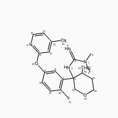 CN(C)C(=N)NC1(c2cc(Oc3cc(C#N)ccn3)ccc2F)COCCC1C=O